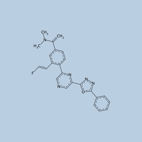 C=C(c1ccc(-c2cncc(-c3nnc(-c4ccccc4)o3)n2)c(/C=C/F)c1)N(C)C